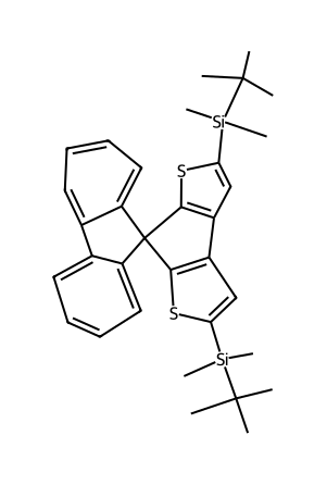 CC(C)(C)[Si](C)(C)c1cc2c(s1)C1(c3ccccc3-c3ccccc31)c1sc([Si](C)(C)C(C)(C)C)cc1-2